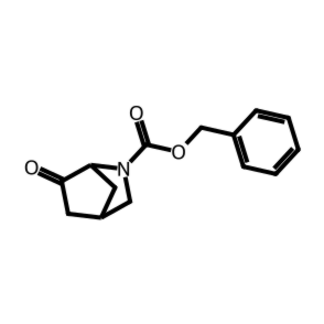 O=C1CC2CC1N(C(=O)OCc1ccccc1)C2